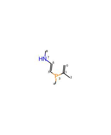 C=C(C)P(C)/C=C/NC